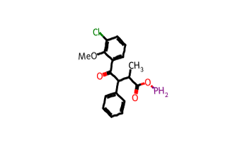 COc1c(Cl)cccc1C(=O)C(c1ccccc1)C(C)C(=O)OP